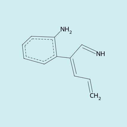 C=C/C=C(\C=N)c1ccccc1N